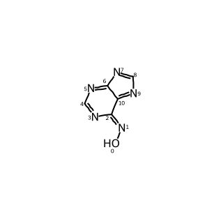 ON=C1N=CN=C2N=CN=C12